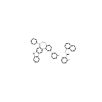 C=C(Cc1cccc2ccccc12)c1c(Cl)cccc1Sc1cc(-c2ccc3c(c2)-c2cc4c(cc2C(c2ccccc2)CC3)C(C)(C)c2ccccc2-4)ccc1C